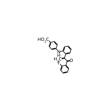 C=C(C(=O)c1ccccc1F)c1ccccc1Nc1ccc(C(=O)O)cc1